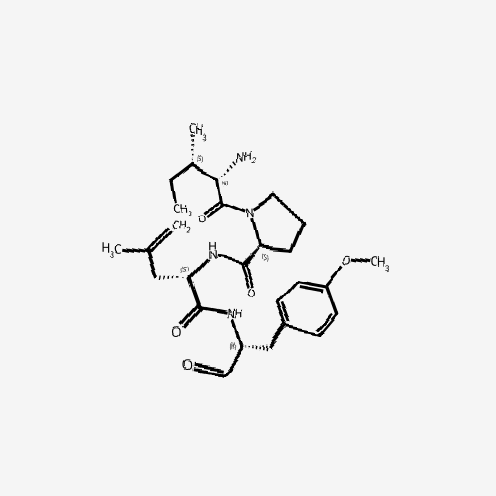 C=C(C)C[C@H](NC(=O)[C@@H]1CCCN1C(=O)[C@@H](N)[C@@H](C)CC)C(=O)N[C@@H](C=O)Cc1ccc(OC)cc1